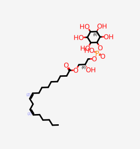 CCCCC/C=C\C/C=C\CCCCCCCC(=O)OC[C@@H](O)COP(=O)(O)OC1C(O)C(O)C(O)[C@@H](O)C1O